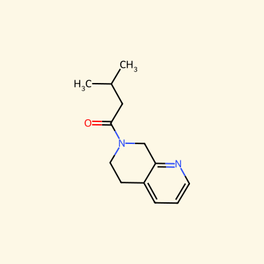 CC(C)CC(=O)N1CCc2cccnc2C1